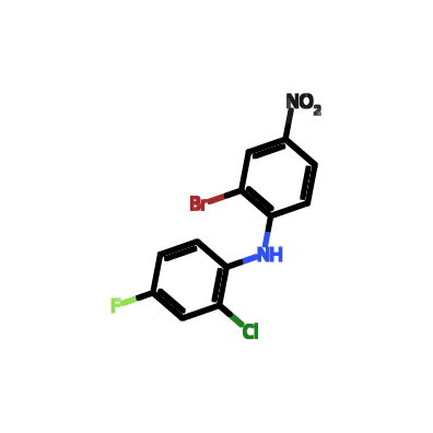 O=[N+]([O-])c1ccc(Nc2ccc(F)cc2Cl)c(Br)c1